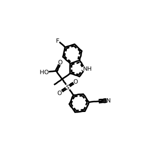 CC(C(=O)O)(c1c[nH]c2ccc(F)cc12)S(=O)(=O)c1cccc(C#N)c1